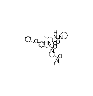 CCN(CC)C(=O)C1CCCN(C(=O)[C@H](Cc2ccc(OCc3ccccc3)cc2)NC(=O)[C@H](CC(C)C)NC(=O)N2CCCCCC2)C1